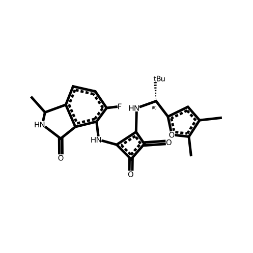 Cc1cc([C@H](Nc2c(Nc3c(F)ccc4c3C(=O)NC4C)c(=O)c2=O)C(C)(C)C)oc1C